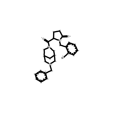 O=C(C1CCC(=O)N1Cc1ccccc1Br)N1CC2CC(CN(Cc3ccccc3)C2)C1